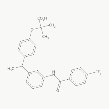 CC(c1ccc(OC(C)(C)C(=O)O)cc1)c1cccc(NC(=O)c2ccc(C(F)(F)F)cc2)c1